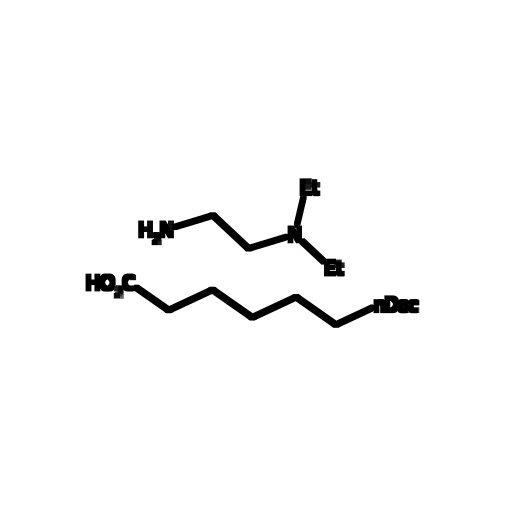 CCCCCCCCCCCCCCCC(=O)O.CCN(CC)CCN